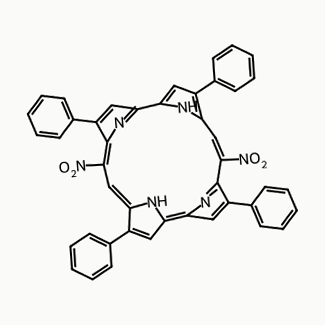 O=[N+]([O-])c1cc2[nH]c(cc2-c2ccccc2)c2nc(c([N+](=O)[O-])cc3[nH]c(cc3-c3ccccc3)c3nc1C(c1ccccc1)=C3)C(c1ccccc1)=C2